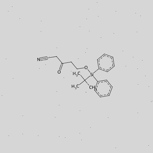 CC(C)(C)[Si](OCCC(=O)CC#N)(c1ccccc1)c1ccccc1